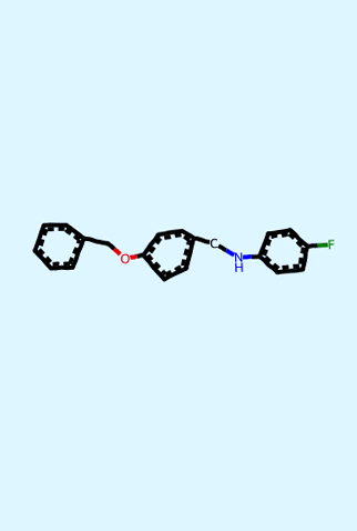 Fc1ccc(NCc2ccc(OCc3ccccc3)cc2)cc1